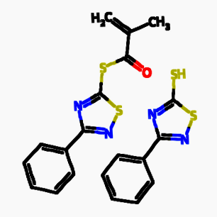 C=C(C)C(=O)Sc1nc(-c2ccccc2)ns1.Sc1nc(-c2ccccc2)ns1